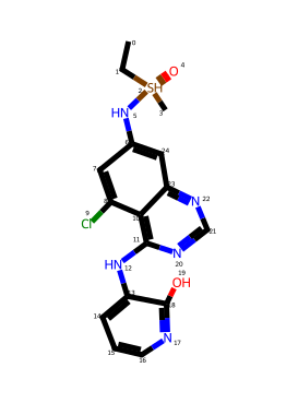 CC[SH](C)(=O)Nc1cc(Cl)c2c(Nc3cccnc3O)ncnc2c1